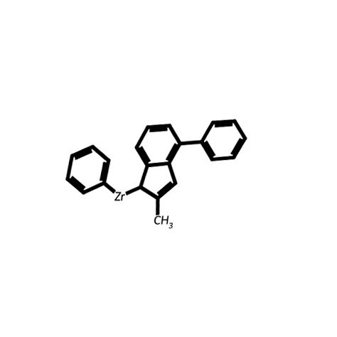 CC1=Cc2c(-c3ccccc3)cccc2[CH]1[Zr][c]1ccccc1